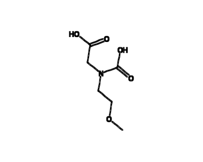 COCCN(CC(=O)O)C(=O)O